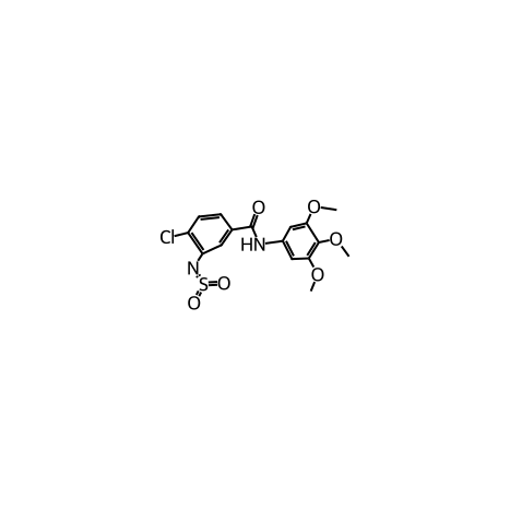 COc1cc(NC(=O)c2ccc(Cl)c(N=S(=O)=O)c2)cc(OC)c1OC